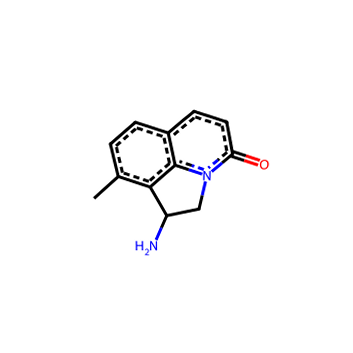 Cc1ccc2ccc(=O)n3c2c1C(N)C3